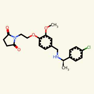 COc1cc(CN[C@H](C)c2ccc(Cl)cc2)ccc1OCCN1C(=O)CCC1=O